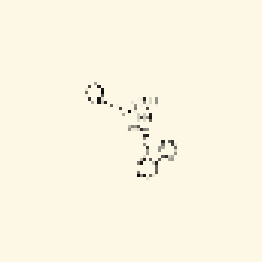 O=C(N[C@@H](CCCN1CCCCC1)C(=O)O)OCC1c2ccccc2-c2ccccc21